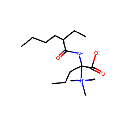 CCCCC(CC)C(=O)NC(CCC)(C(=O)[O-])[N+](C)(C)C